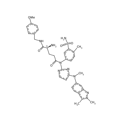 COc1ccc(CNC(=O)[C@@H](N)CCC(=O)N(c2ccc(C)c(S(N)(=O)=O)c2)c2nccc(N(C)c3ccc4c(C)n(C)nc4c3)n2)cc1